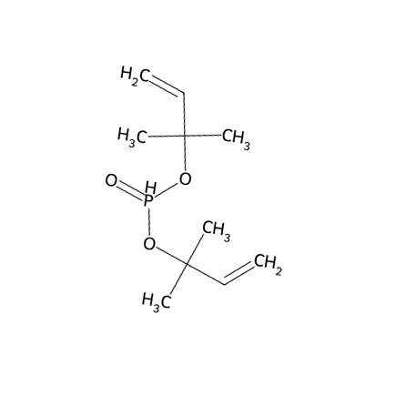 C=CC(C)(C)O[PH](=O)OC(C)(C)C=C